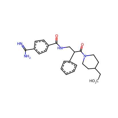 N=C(N)c1ccc(C(=O)NCC(C(=O)N2CCC(CC(=O)O)CC2)c2ccccc2)cc1